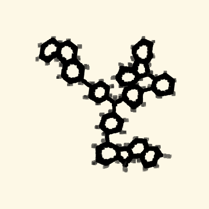 c1ccc(-n2c3ccccc3c3ccccc32)c(-c2ccc(N(c3ccc(-c4ccc5c(ccc6ccccc65)c4)cc3)c3ccc(-c4cccc5oc6c7ccccc7ccc6c45)cc3)cc2)c1